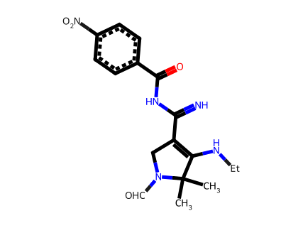 CCNC1=C(C(=N)NC(=O)c2ccc([N+](=O)[O-])cc2)CN(C=O)C1(C)C